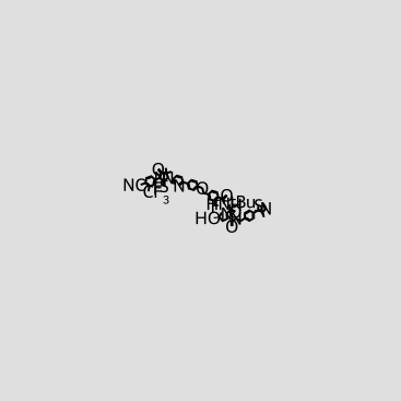 Cc1ncsc1-c1ccc(CNC(=O)[C@@H]2C[C@@H](O)CN2C(=O)[C@@H](NC(=O)c2ccc(COc3ccc(-c4ccc(N5C(=S)N(c6ccc(C#N)c(C(F)(F)F)c6F)C(=O)C5(C)C)cn4)cc3)cc2F)C(C)(C)C)cc1